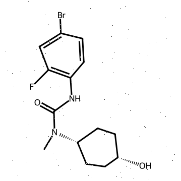 CN(C(=O)Nc1ccc(Br)cc1F)[C@H]1CC[C@@H](O)CC1